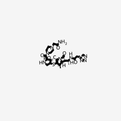 C[C@@H](NC(O)Cn1cnnn1)[C@H]1C(=O)N2C(C(=O)O)=C(SC3CNC(C(=O)N4CCN(CC(N)=O)CC4)C3)[C@H](C)[C@H]12